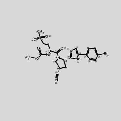 COC(=O)N[C@@H](CCS(C)(=O)=O)C(=O)N1C[C@@H](C#N)C[C@H]1c1ncc(-c2ccc(Br)cc2)[nH]1